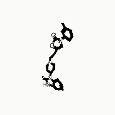 Cc1cccc(N2CC(CCN3CCC(n4c(=S)[nH]c5ccccc54)CC3)OC2=O)c1